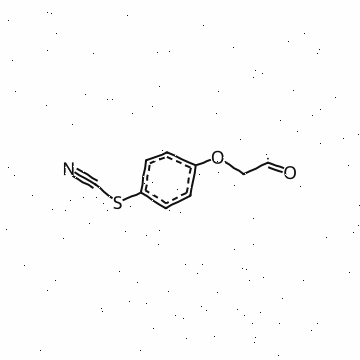 N#CSc1ccc(OC[C]=O)cc1